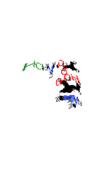 C=C(C)C(=O)OC.C=C(CC)C(=O)O.CN(C)C.CN(C)C.Cl